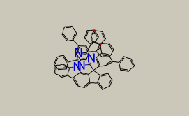 c1ccc(-c2cc(-c3ccccc3)cc(-n3c4ccccc4c4ccc5c(c43)C(c3cc(-c4ccccc4)cc(-c4ccccc4)c3)(c3nc(-c4ccccc4)nc(-c4ccccc4)n3)c3ccccc3-5)c2)cc1